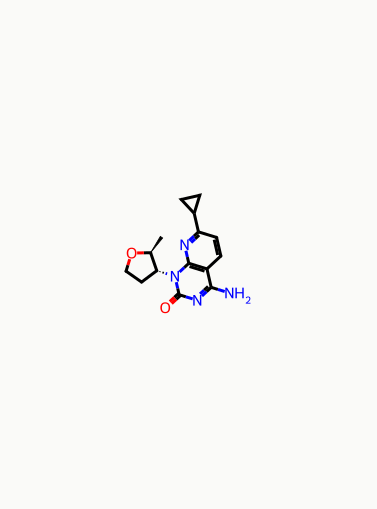 C[C@@H]1OCC[C@H]1n1c(=O)nc(N)c2ccc(C3CC3)nc21